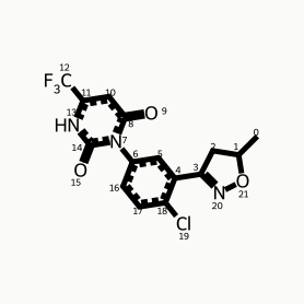 CC1CC(c2cc(-n3c(=O)cc(C(F)(F)F)[nH]c3=O)ccc2Cl)=NO1